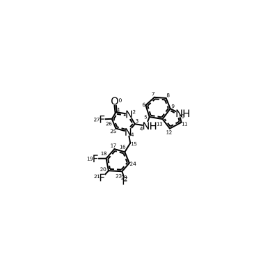 O=c1nc(Nc2cccc3[nH]ccc23)n(Cc2cc(F)c(F)c(F)c2)cc1F